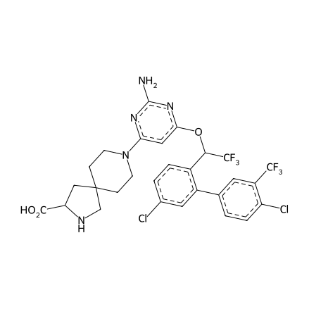 Nc1nc(OC(c2ccc(Cl)cc2-c2ccc(Cl)c(C(F)(F)F)c2)C(F)(F)F)cc(N2CCC3(CC2)CNC(C(=O)O)C3)n1